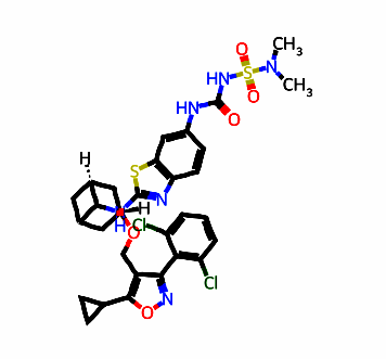 CN(C)S(=O)(=O)NC(=O)Nc1ccc2nc(NC3C4C[C@@H](OCc5c(-c6c(Cl)cccc6Cl)noc5C5CC5)C[C@@H]3C4)sc2c1